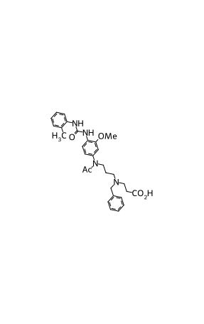 COc1cc(N(CCCN(CCC(=O)O)Cc2ccccc2)C(C)=O)ccc1NC(=O)Nc1ccccc1C